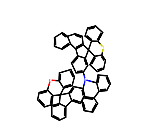 c1ccc(-c2ccccc2N(c2ccc3c(c2)C2(c4ccccc4Oc4ccccc42)c2ccccc2-3)c2ccc3c(c2)C2(c4ccccc4Sc4ccccc42)c2ccc4ccccc4c2-3)cc1